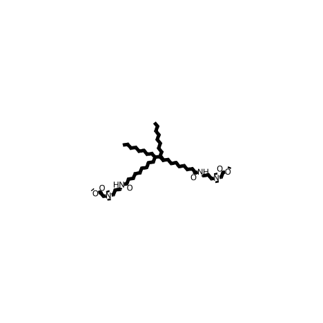 CCCCCCCC/C(=C\CCCCCCCC(=O)NCCC[N+](C)(C)CC(=O)OC)C(CCCCCCCC)CCCCCCCCC(=O)NCCC[N+](C)(C)CC(=O)OC